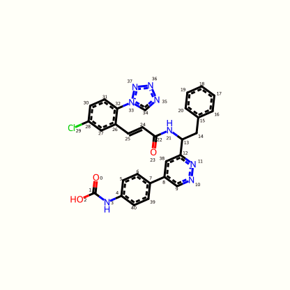 O=C(O)Nc1ccc(-c2cnnc(C(Cc3ccccc3)NC(=O)C=Cc3cc(Cl)ccc3-n3cnnn3)c2)cc1